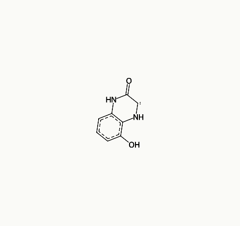 O=C1[C]Nc2c(O)cccc2N1